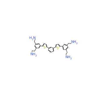 NCCc1cc(CCN)cc(-c2ccc(-c3cccc(-c4ccc(-c5cc(CCN)cc(CCN)c5)s4)c3)s2)c1